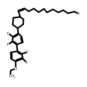 CCOc1ccc(-c2ccc(C3CCC(/C=C\CCCCCCCCCCF)CC3)c(F)c2F)c(F)c1F